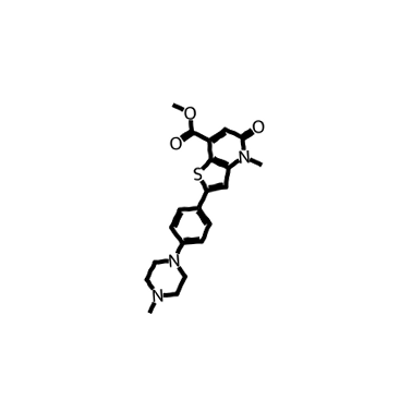 COC(=O)c1cc(=O)n(C)c2cc(-c3ccc(N4CCN(C)CC4)cc3)sc12